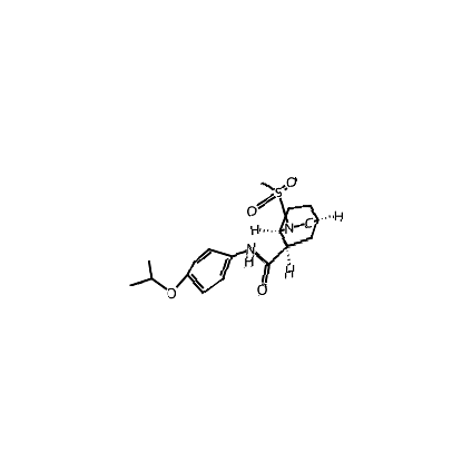 CC(C)Oc1ccc(NC(=O)[C@@H]2C[C@@H]3CC[C@H]2N(S(C)(=O)=O)C3)cc1